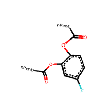 CCCCCC(=O)Oc1ccc(F)cc1OC(=O)CCCCC